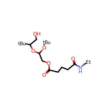 CCNC(=O)CCCC(=O)OCC(OC(CO)C(C)(C)C)OC(C)(C)C